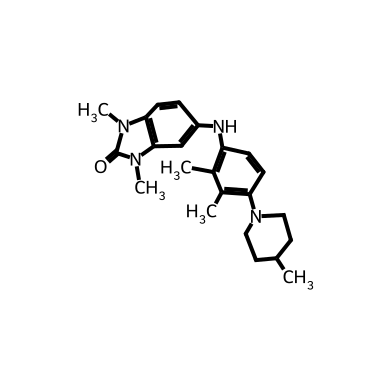 Cc1c(Nc2ccc3c(c2)n(C)c(=O)n3C)ccc(N2CCC(C)CC2)c1C